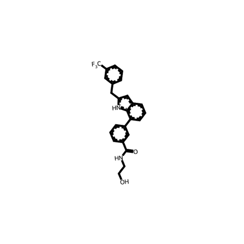 O=C(NCCO)c1cccc(-c2cccc3cc(Cc4cccc(C(F)(F)F)c4)[nH]c23)c1